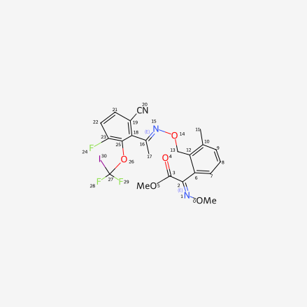 CO/N=C(/C(=O)OC)c1cccc(C)c1CO/N=C(\C)c1c(C#N)ccc(F)c1OC(F)(F)I